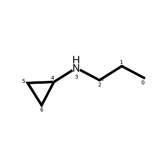 CC[CH]NC1CC1